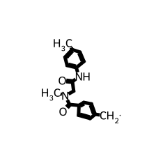 [CH2]c1ccc(C(=O)N(C)CC(=O)Nc2ccc(C)cc2)cc1